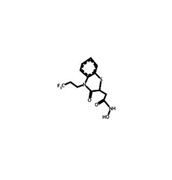 O=C(CC1Sc2ccccc2N(CCC(F)(F)F)C1=O)NO